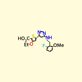 CCOc1cc(-c2cc(NCCc3c(F)cccc3OC)ncn2)sc1C(=O)O